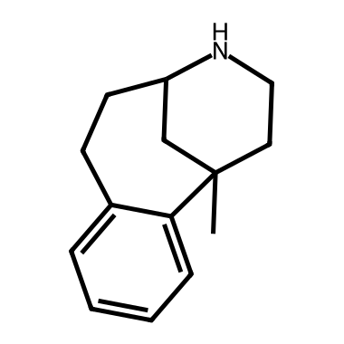 CC12CCNC(CCc3ccccc31)C2